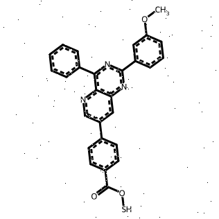 COc1cccc(-c2nc(-c3ccccc3)c3ncc(-c4ccc(C(=O)OS)cc4)cc3n2)c1